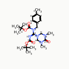 Cc1ccc(CN(C(=O)OC(C)(C)C)/C(=N/C(=O)OC(C)(C)C)N2CN(C)C(=O)N(C)C2)cc1